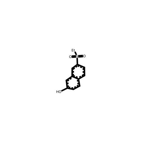 CCS(=O)(=O)c1ccc2ccc(O)cc2c1